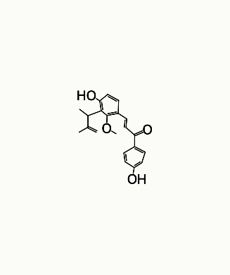 C=C(C)C(C)c1c(O)ccc(C=CC(=O)c2ccc(O)cc2)c1OC